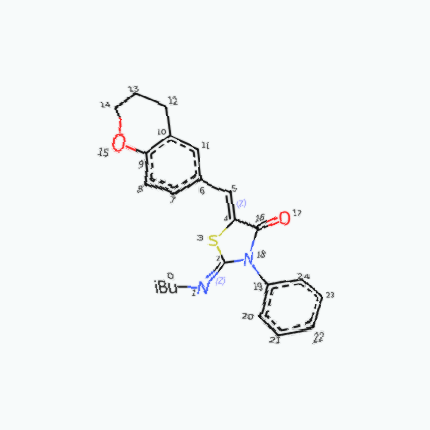 CCC(C)/N=C1\S/C(=C\c2ccc3c(c2)CCCO3)C(=O)N1c1ccccc1